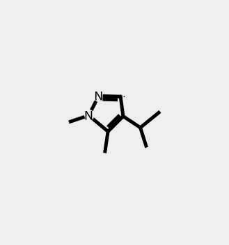 Cc1c(C(C)C)[c]nn1C